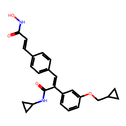 O=C(C=Cc1ccc(C=C(C(=O)NC2CC2)c2cccc(OCC3CC3)c2)cc1)NO